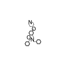 CN1CCC(Oc2cccc(CN(Cc3ccccc3)C(=O)c3ccccc3)c2)CC1